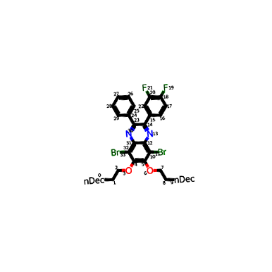 CCCCCCCCCCCCOc1c(OCCCCCCCCCCCC)c(Br)c2nc(-c3ccc(F)c(F)c3)c(-c3ccccc3)nc2c1Br